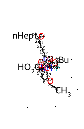 CC#CCOc1ccc(C[C@H](NC(=O)[C@@H](/C=C/CCCCCCC(=O)CCCCCCC)[C@@](O)(CCF)C(=O)OC(C)(C)C)C(=O)O)cc1